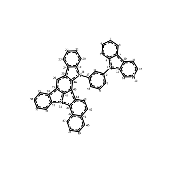 c1cc(-n2c3ccccc3c3ccncc32)cc(-n2c3ccccc3c3cc4c5ccccc5n5c6c7ccccc7ccc6c(c32)c45)c1